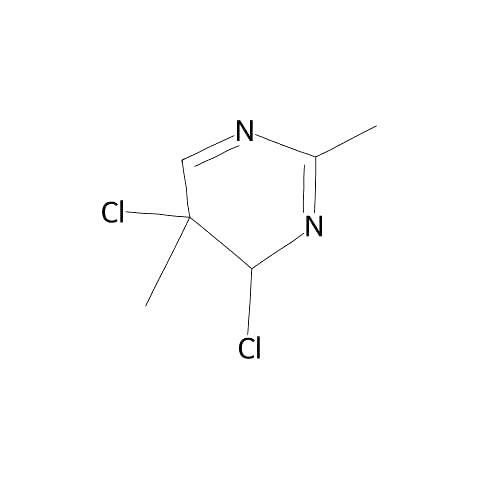 CC1=NC(Cl)C(C)(Cl)C=N1